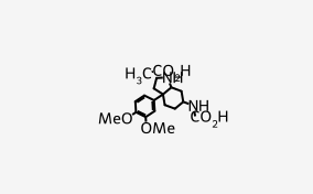 CC(=O)O.COc1ccc(C23CCNC2CC(NC(=O)O)CC3)cc1OC